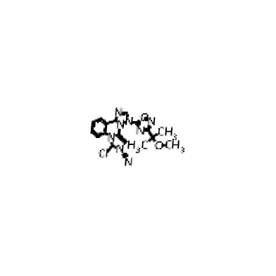 COC(C)(C)c1noc(N2C=NC3c4ccccc4N4C(=CN(C#N)C4Cl)N32)n1